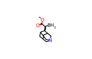 BC(C(=O)OC)=C1C2CC3CC1CN(C3)C2